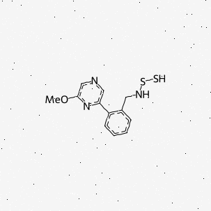 COc1cncc(-c2ccccc2CNSS)n1